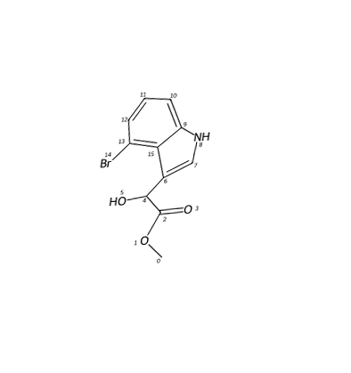 COC(=O)C(O)c1c[nH]c2cccc(Br)c12